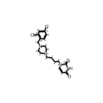 O=c1ccn(CCCCN2CCN(Cc3ccc(Cl)cc3Cl)CC2)c(=O)[nH]1